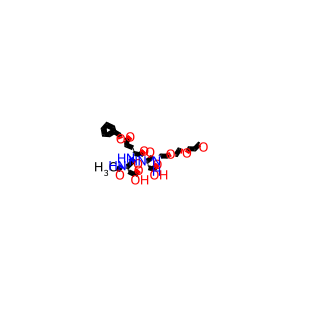 CC(=O)N[C@@H](CC(=O)O)C(=O)N[C@H](CCC(=O)OCc1ccccc1)C(=O)N[C@@H](CC(=O)O)C(=O)NCCOCCOCCC=O